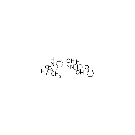 CC1(C)Cc2cc(C(O)CN3C[C@H]4C[C@H](Oc5ccccc5)C[C@@]4(O)C3)ccc2NC1=O